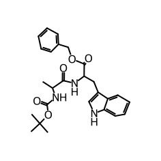 CC(NC(=O)OC(C)(C)C)C(=O)NC(Cc1c[nH]c2ccccc12)C(=O)OCc1ccccc1